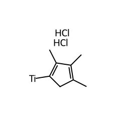 CC1=C(C)C(C)=[C]([Ti])C1.Cl.Cl